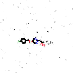 CCOC(=O)C(O)=Cc1ncc(OCc2ccc(F)cc2)cn1